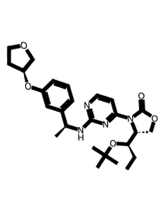 CC[C@@H](OC(C)(C)C)[C@H]1COC(=O)N1c1ccnc(N[C@@H](C)c2cccc(O[C@H]3CCOC3)c2)n1